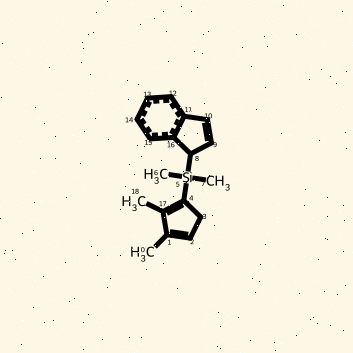 CC1=CCC([Si](C)(C)C2C=Cc3ccccc32)=C1C